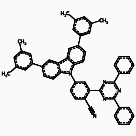 Cc1cc(C)cc(-c2ccc3c(c2)c2cc(-c4cc(C)cc(C)c4)ccc2n3-c2ccc(C#N)c(-c3nc(-c4ccccc4)nc(-c4ccccc4)n3)c2)c1